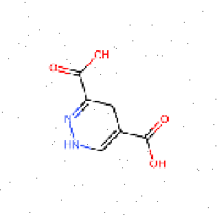 O=C(O)C1=CNN=C(C(=O)O)C1